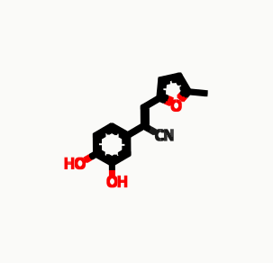 Cc1ccc(C=C(C#N)c2ccc(O)c(O)c2)o1